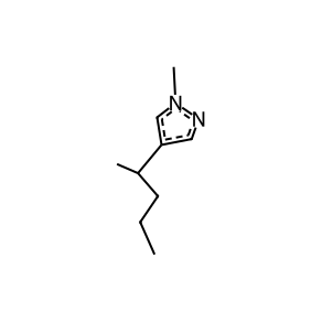 CCCC(C)c1cnn(C)c1